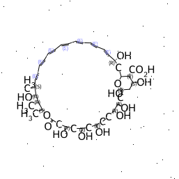 C[C@@H]1[C@H](O)[C@@H](C)/C=C/C=C/C=C/C=C/C=C/C=C/C=C/[C@H](O)CC2O[C@](O)(C[C@@H](O)[C@H](O)CC[C@@H](O)C[C@@H](O)C[C@@H](O)CC(=O)O[C@H]1C)C[C@H](O)[C@H]2C(=O)O